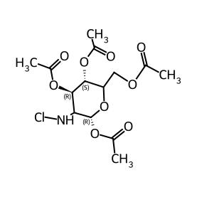 CC(=O)OCC1O[C@H](OC(C)=O)C(NCl)[C@@H](OC(C)=O)[C@@H]1OC(C)=O